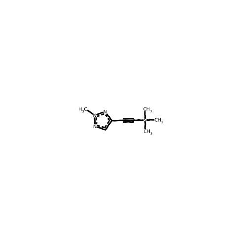 Cn1ncc(C#CS(C)(C)C)n1